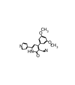 COc1cc(OC)cc(-c2cc(-c3ccncc3)[nH]c(=O)c2C#N)c1